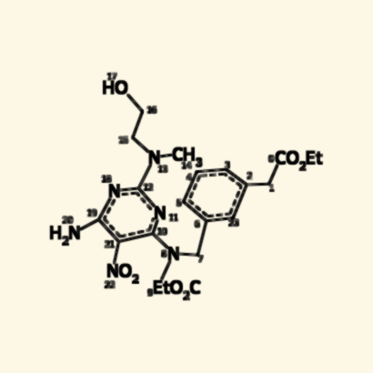 CCOC(=O)Cc1cccc(CN(C(=O)OCC)c2nc(N(C)CCO)nc(N)c2[N+](=O)[O-])c1